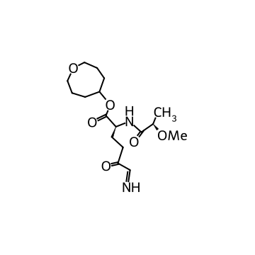 CO[C@H](C)C(=O)N[C@@H](CCC(=O)C=N)C(=O)OC1CCCOCCC1